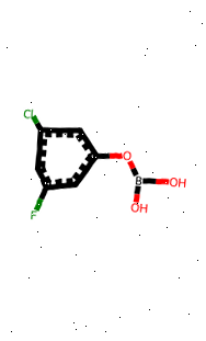 OB(O)Oc1cc(F)cc(Cl)c1